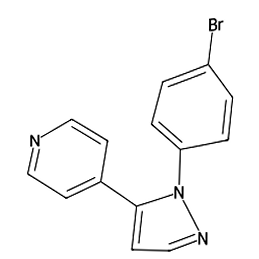 Brc1ccc(-n2nccc2-c2ccncc2)cc1